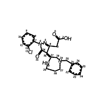 O=C(O)CC1=NN(c2ccccc2Cl)C(=O)C1=C1CN(Cc2ccccc2)CCCN1